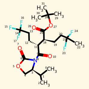 CC(C)[C@H]1COC(=O)N1C(=O)[C@H](CCC(F)(F)F)[C@H](CCC(C)(F)F)C(=O)OC(C)(C)C